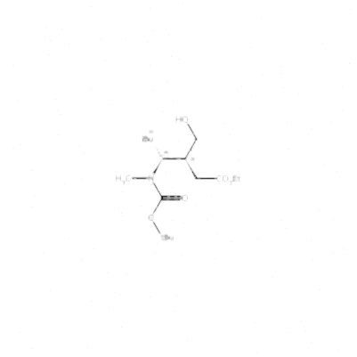 CCOC(=O)C[C@H](CO)[C@H]([C@@H](C)CC)N(C)C(=O)OC(C)(C)C